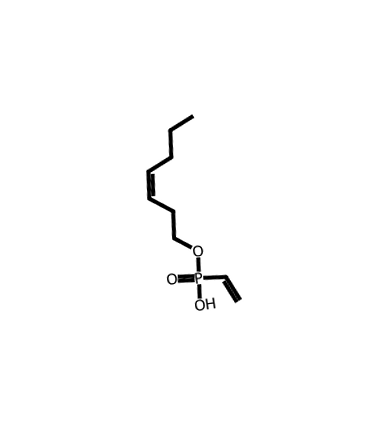 C=CP(=O)(O)OCC/C=C\CCC